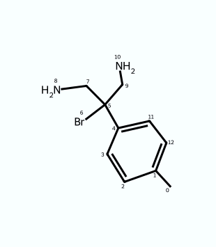 Cc1ccc(C(Br)(CN)CN)cc1